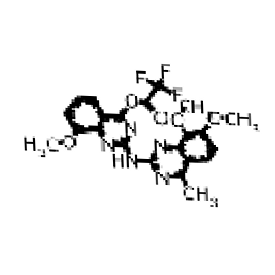 COc1ccc2c(C)nc(Nc3nc(OC(=O)C(F)(F)F)c4cccc(OC)c4n3)nc2c1OC